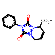 O=C(O)C1C=CCn2c(=O)n(-c3ccccc3)c(=O)n21